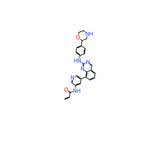 C=CC(=O)Nc1cncc(-c2cccc3cnc(Nc4ccc(C5CNCCO5)cc4)nc23)c1